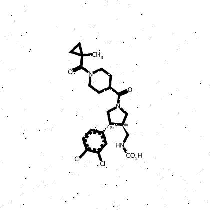 CC1(C(=O)N2CCC(C(=O)N3C[C@@H](CNC(=O)O)[C@H](c4ccc(Cl)c(Cl)c4)C3)CC2)CC1